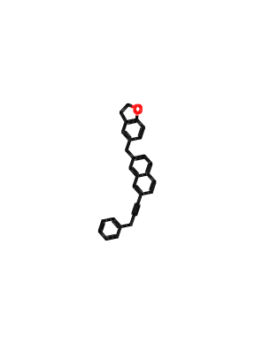 C(#Cc1ccc2ccc(Cc3ccc4c(c3)CCO4)cc2c1)Cc1ccccc1